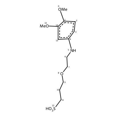 COc1ccc(NCCOCCCS(=O)(=O)O)cc1OC